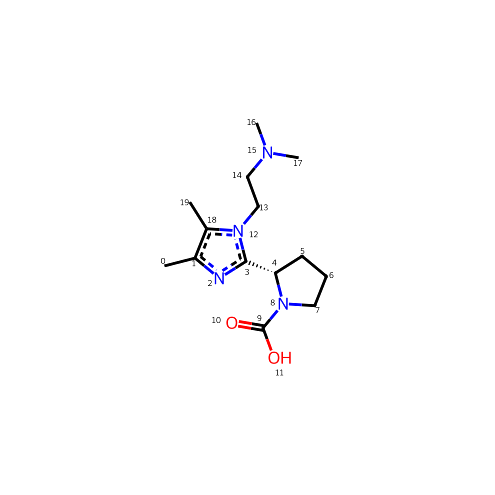 Cc1nc([C@@H]2CCCN2C(=O)O)n(CCN(C)C)c1C